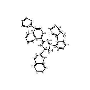 c1ccc2c(c1)-c1cccc3c(C4=NC(c5ccc6ccccc6c5)NC(c5cccc6oc7cccnc7c56)=N4)ccc-2c13